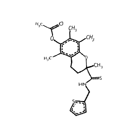 CC(=O)Oc1c(C)c(C)c2c(c1C)CCC(C)(C(=S)NCc1cccs1)O2